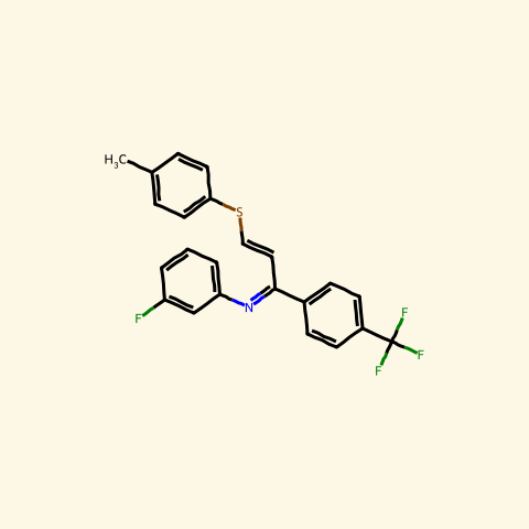 Cc1ccc(SC=CC(=Nc2cccc(F)c2)c2ccc(C(F)(F)F)cc2)cc1